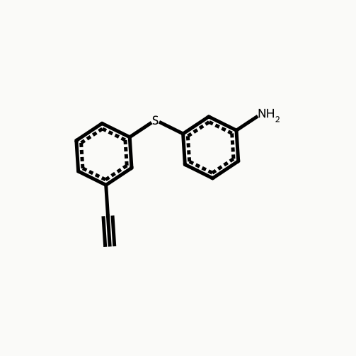 C#Cc1cccc(Sc2cccc(N)c2)c1